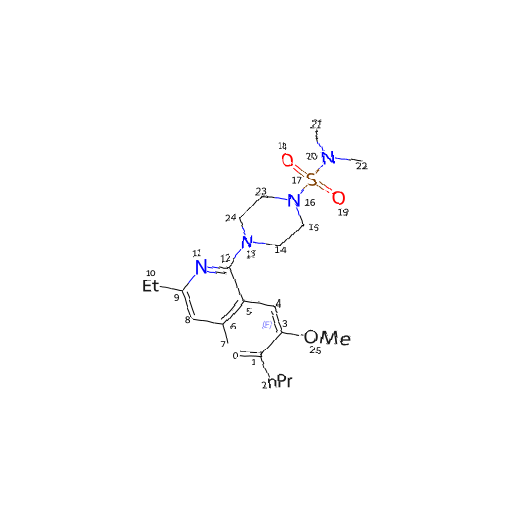 C=C(CCC)/C(=C\c1c(C)cc(CC)nc1N1CCN(S(=O)(=O)N(C)C)CC1)OC